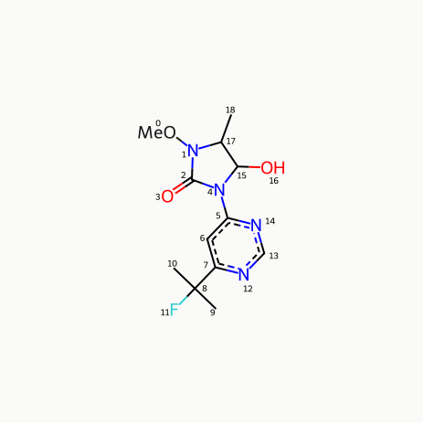 CON1C(=O)N(c2cc(C(C)(C)F)ncn2)C(O)C1C